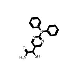 NC(=O)C(S)c1cnc(N(c2ccccc2)c2ccccc2)nc1